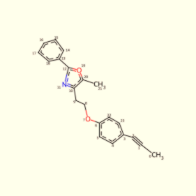 CC#Cc1ccc(OCCc2nc(-c3ccccc3)oc2C)cc1